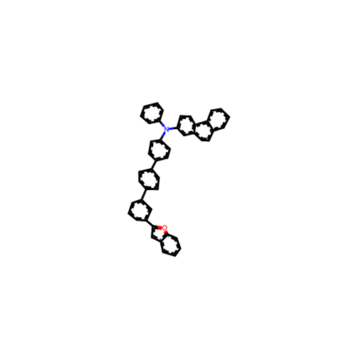 c1ccc(N(c2ccc(-c3ccc(-c4cccc(-c5cc6ccccc6o5)c4)cc3)cc2)c2ccc3c(ccc4ccccc43)c2)cc1